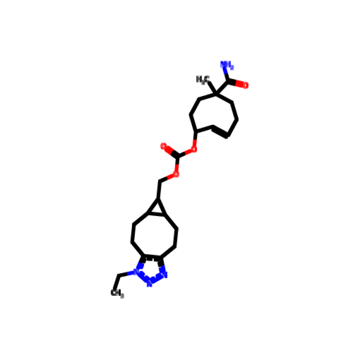 CCn1nnc2c1CCC1C(CC2)C1COC(=O)OC1/C=C/CCC(C)(C(N)=O)CC1